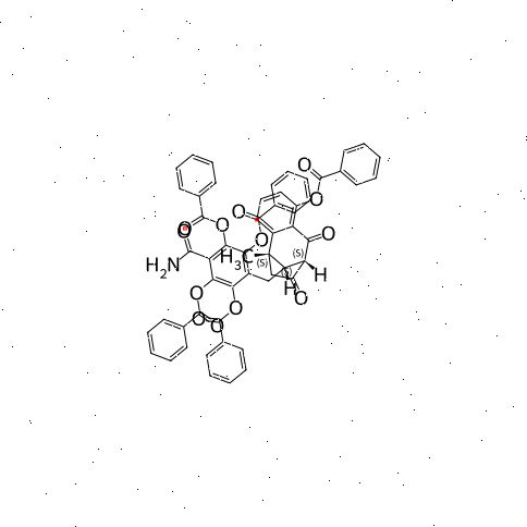 C[C@@]12CC(=O)[C@@H](C(=O)c3c(OC(=O)c4ccccc4)cccc31)[C@@H]2Cc1c(OC(=O)c2ccccc2)c(OC(=O)c2ccccc2)c(C(N)=O)c(OC(=O)c2ccccc2)c1OC(=O)c1ccccc1